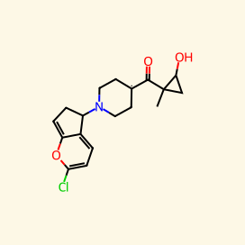 CC1(C(=O)[C]2CCN(C3CC=C4OC(Cl)=CC=C43)CC2)CC1O